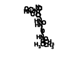 CC(C)(C)OC(=O)NCCOCCNC(=O)NCc1ccc2c(c1)c1cccnc1n2C1CCC(=O)NC1=O